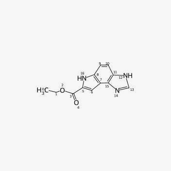 CCOC(=O)c1cc2c(ccc3[nH]cnc32)[nH]1